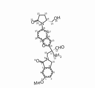 COc1ccc2c(c1)C(=O)N(C[C@@](N)(C=O)c1cc3nc(N4C(=O)CC[C@@H]4CO)ccc3o1)C2